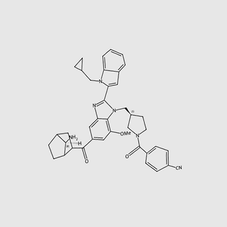 COc1cc(C(=O)C2CC3CCC2[C@@H]3N)cc2nc(-c3cc4ccccc4n3CC3CC3)n(C[C@H]3CCN(C(=O)c4ccc(C#N)cc4)C3)c12